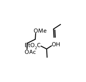 C=CC.CCOC(=O)C(C)O.COCCOC(C)=O